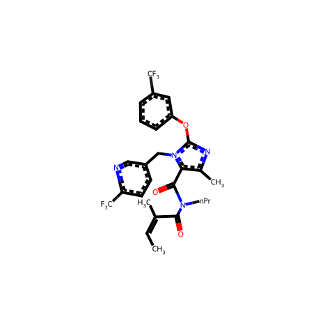 C/C=C(/C)C(=O)N(CCC)C(=O)c1c(C)nc(Oc2cccc(C(F)(F)F)c2)n1Cc1ccc(C(F)(F)F)nc1